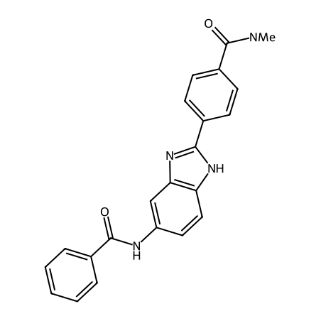 CNC(=O)c1ccc(-c2nc3cc(NC(=O)c4ccccc4)ccc3[nH]2)cc1